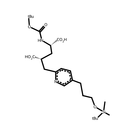 CC(C)(C)OC(=O)N[C@@H](C[C@H](Cc1ccc(CCCO[Si](C)(C)C(C)(C)C)cn1)C(=O)O)C(=O)O